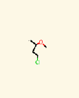 [CH2]C(CCCl)OC